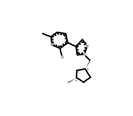 Cc1ccc(-c2cnn(C[C@@H]3CC[C@H](F)C3)c2)c(Cl)n1